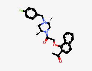 CC(=O)c1ccc2ccccc2c1OCC(=O)N1C[C@@H](C)N(Cc2ccc(F)cc2)C[C@@H]1C